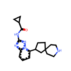 O=C(Nc1nc2cccc(C3CCC4(CCNCC4)C3)n2n1)C1CC1